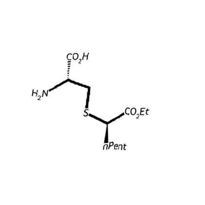 CCCCC[C@@H](SC[C@H](N)C(=O)O)C(=O)OCC